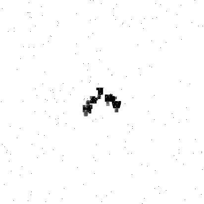 [Hf].[Nb].[Ti].[W].[Zr]